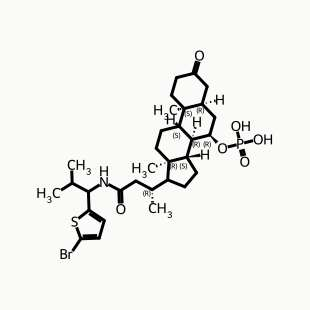 CC(C)C(NC(=O)C[C@@H](C)C1CC[C@H]2[C@@H]3[C@H](OP(=O)(O)O)C[C@@H]4CC(=O)CC[C@]4(C)[C@H]3CC[C@]12C)c1ccc(Br)s1